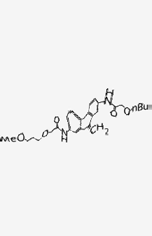 C=C1c2cc(NC(=O)COCCCC)ccc2-c2ccc(NC(=O)COCCCOC)cc21